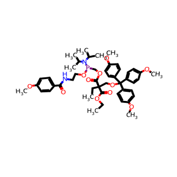 CCOC(=O)C(CC)(COC(c1ccc(OC)cc1)(c1ccc(OC)cc1)c1ccc(OC)cc1)C(=O)OCP(OCCNC(=O)c1ccc(OC)cc1)N(C(C)C)C(C)C